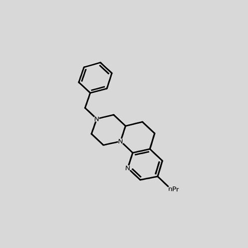 CCCc1cnc2c(c1)CCC1CN(Cc3ccccc3)CCN21